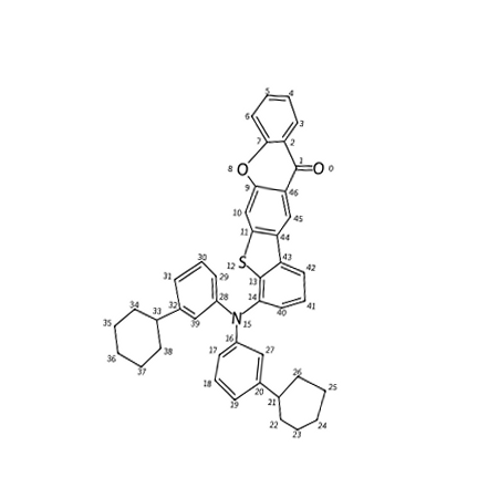 O=c1c2ccccc2oc2cc3sc4c(N(c5cccc(C6CCCCC6)c5)c5cccc(C6CCCCC6)c5)cccc4c3cc12